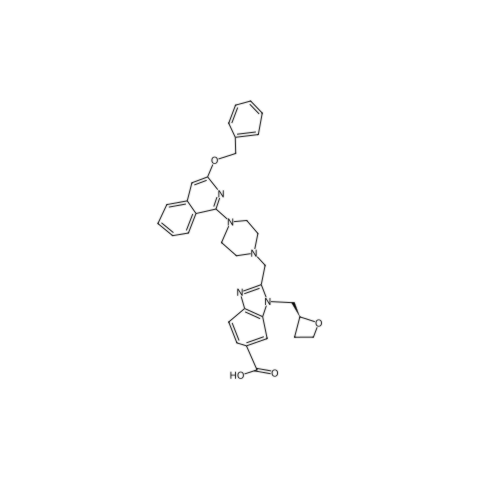 O=C(O)c1ccc2nc(CN3CCN(c4nc(OCc5ccccc5)cc5ccccc45)CC3)n(C[C@@H]3CCO3)c2c1